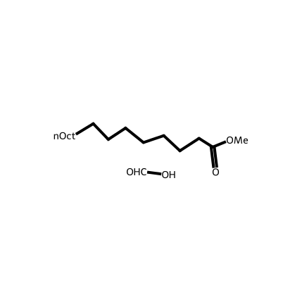 CCCCCCCCCCCCCCCC(=O)OC.O=CO